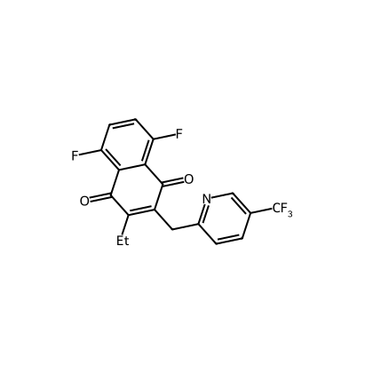 CCC1=C(Cc2ccc(C(F)(F)F)cn2)C(=O)c2c(F)ccc(F)c2C1=O